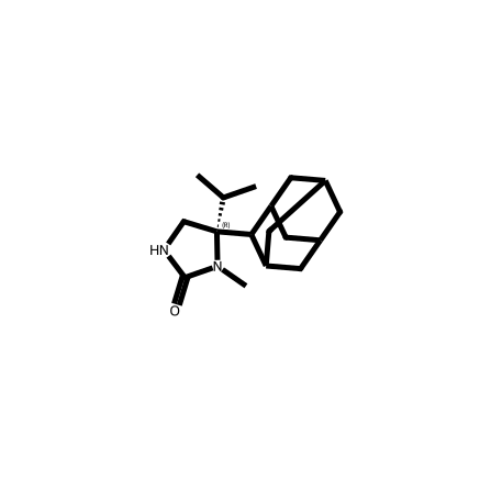 CC(C)[C@@]1(C2C3CC4CC(C3)CC2C4)CNC(=O)N1C